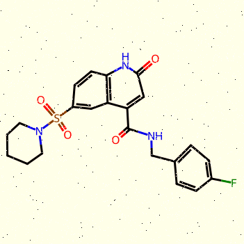 O=C(NCc1ccc(F)cc1)c1cc(=O)[nH]c2ccc(S(=O)(=O)N3CCCCC3)cc12